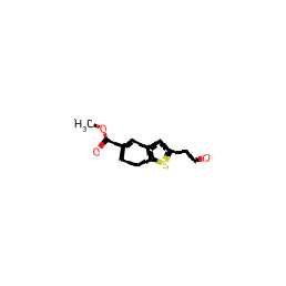 COC(=O)C1=Cc2cc(CC=O)sc2CC1